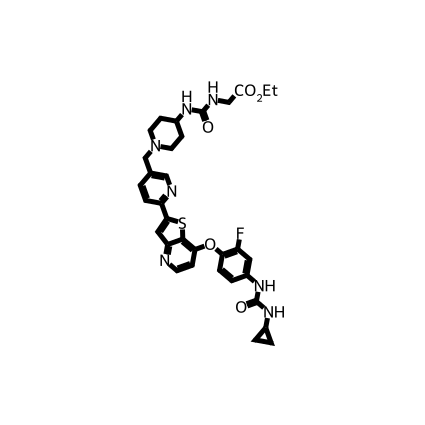 CCOC(=O)CNC(=O)NC1CCN(Cc2ccc(-c3cc4nccc(Oc5ccc(NC(=O)NC6CC6)cc5F)c4s3)nc2)CC1